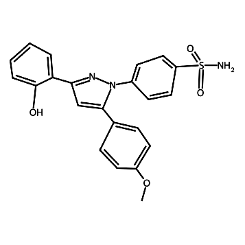 COc1ccc(-c2cc(-c3ccccc3O)nn2-c2ccc(S(N)(=O)=O)cc2)cc1